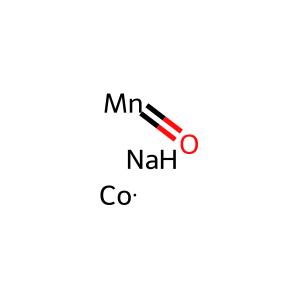 [Co].[NaH].[O]=[Mn]